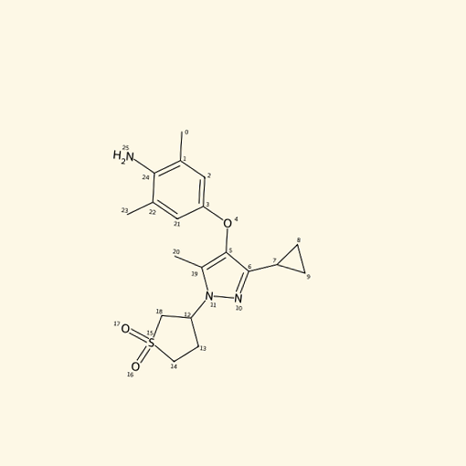 Cc1cc(Oc2c(C3CC3)nn(C3CCS(=O)(=O)C3)c2C)cc(C)c1N